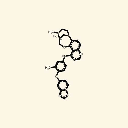 Cc1cc(Nc2ncnc3ccc4c(c23)OC[C@@H]2CN4CCN2C)ccc1Oc1ccn2ncnc2c1